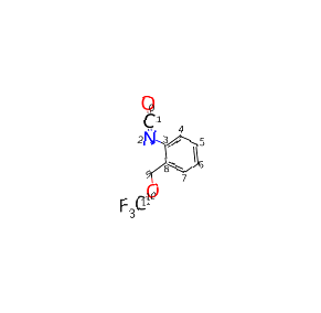 O=C=Nc1ccccc1COC(F)(F)F